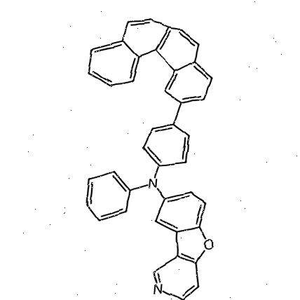 c1ccc(N(c2ccc(-c3ccc4ccc5ccc6ccccc6c5c4c3)cc2)c2ccc3oc4ccncc4c3c2)cc1